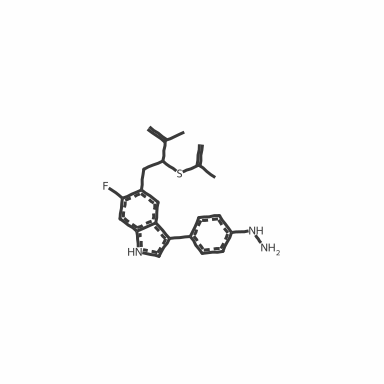 C=C(C)SC(Cc1cc2c(-c3ccc(NN)cc3)c[nH]c2cc1F)C(=C)C